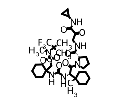 CN(C(C)(C)C(F)(F)F)S(=O)(=O)CC1(NC(=O)N[C@H](C(=O)N2CCC[C@H]2C(=O)NCC(=O)C(=O)NC2CC2)C2(C)CCCCC2)CCCCC1